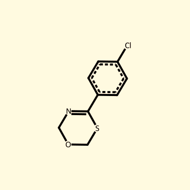 Clc1ccc(C2=NCOCS2)cc1